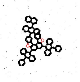 c1ccc(-c2c3ccccc3c(-c3cc4cc(-c5c6ccccc6c(-c6ccccc6)c6ccccc56)c5oc6ccc(-c7c8ccccc8c(-c8cccc9ccccc89)c8ccccc78)cc6c5c4c4c3oc3ccccc34)c3ccccc23)cc1